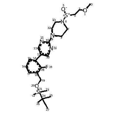 COCC[S+]([O-])N1CCN(c2ncc(-c3cccc(CO[Si](C)(C)C(C)(C)C)c3F)cn2)CC1